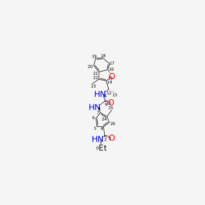 CCNC(=O)c1ccc(NC(=O)N[C@@H](C)c2oc3ccccc3c2C)c(C)c1